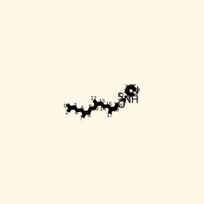 CC(C)=CCCC(C)=CCCC(C)=CCCC(C)=CCOC(=S)Nc1cccnc1